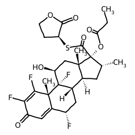 CCC(=O)O[C@]1(C(=O)S[C@H]2CCOC2=O)[C@H](C)C[C@H]2[C@@H]3C[C@H](F)C4=CC(=O)C(F)=C(F)[C@]4(C)[C@@]3(F)[C@@H](O)C[C@@]21C